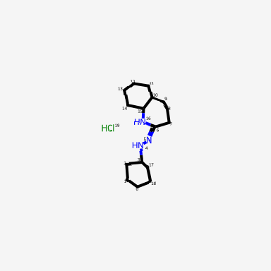 C1CCC(NN=C2CCCC3CCCCC3N2)CC1.Cl